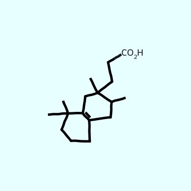 CC1CC2=C(CC1(C)CCC(=O)O)C(C)(C)CCC2